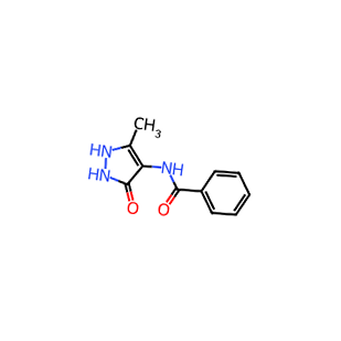 Cc1[nH][nH]c(=O)c1NC(=O)c1ccccc1